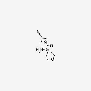 N#CC1CN(C(=O)[C@H](N)C2CCOCC2)C1